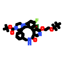 CC(C)(C)OC(=O)N1CCN2c3cc(F)c(Cl)c4c3CC2(C1)c1cccc(c1)CNC(=O)c1cnc(OCCO[Si](C)(C)C(C)(C)C)c(F)c1-4